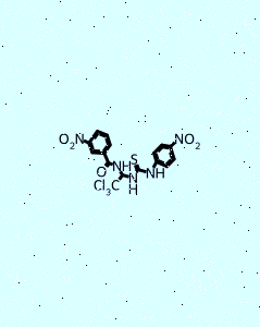 O=C(NC(NC(=S)Nc1ccc([N+](=O)[O-])cc1)C(Cl)(Cl)Cl)c1cccc([N+](=O)[O-])c1